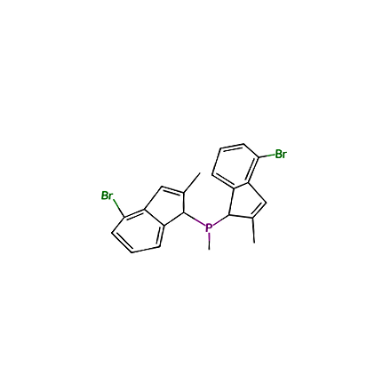 CC1=Cc2c(Br)cccc2C1P(C)C1C(C)=Cc2c(Br)cccc21